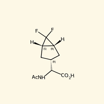 CC(=O)NC(C(=O)O)[C@H]1C[C@@H]2[C@H](C1)C2(F)F